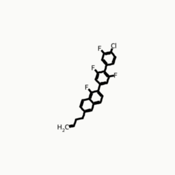 C=CCCc1ccc2c(F)c(-c3cc(F)c(-c4ccc(Cl)c(F)c4)c(F)c3)ccc2c1